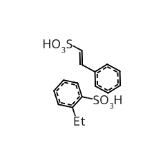 CCc1ccccc1S(=O)(=O)O.O=S(=O)(O)C=Cc1ccccc1